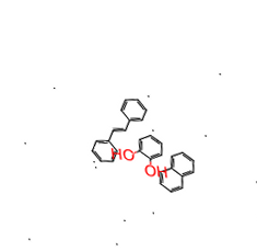 C(=C\c1ccccc1)/c1ccccc1.Oc1ccccc1O.c1ccc2ccccc2c1